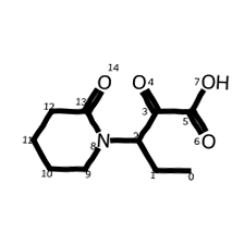 CCC(C(=O)C(=O)O)N1CCCCC1=O